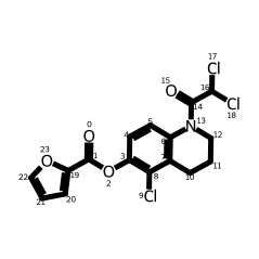 O=C(Oc1ccc2c(c1Cl)CCCN2C(=O)C(Cl)Cl)c1ccco1